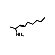 CCCCCC=CC(C)N